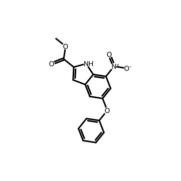 COC(=O)c1cc2cc(Oc3ccccc3)cc([N+](=O)[O-])c2[nH]1